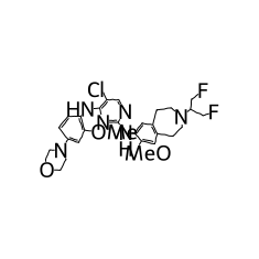 COc1cc2c(cc1Nc1ncc(Cl)c(Nc3ccc(N4CCOCC4)cc3OC)n1)CCN(C(CF)CF)CC2